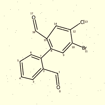 O=Cc1ccccc1-c1cc(Br)c(Cl)cc1C=O